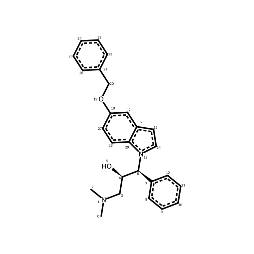 CN(C)C[C@@H](O)[C@H](c1ccccc1)n1ccc2cc(OCc3ccccc3)ccc21